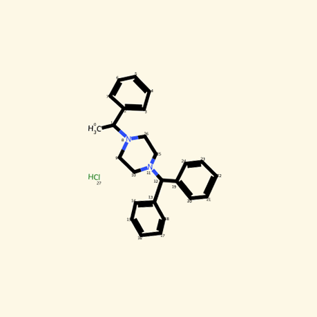 CC(c1ccccc1)N1CCN(C(c2ccccc2)c2ccccc2)CC1.Cl